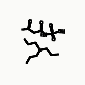 CC(=O)CC(=O)NS(=O)(=O)O.CCCN(CCC)CCC